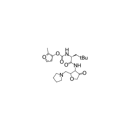 Cc1occc1OC(=O)N[C@@H](CC(C)(C)C)C(=O)NC1C(=O)COC1CN1CCCC1